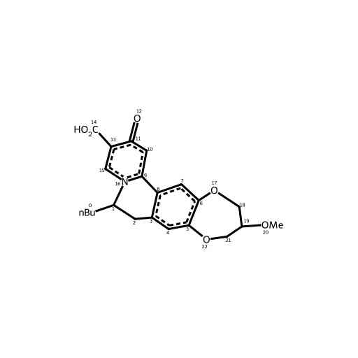 CCCCC1Cc2cc3c(cc2-c2cc(=O)c(C(=O)O)cn21)OCC(OC)CO3